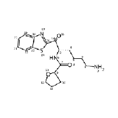 NCCCC[C@H](NC(=O)C1CCCO1)C(=O)c1nc2ccccc2s1